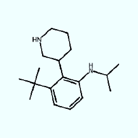 CC(C)Nc1cccc(C(C)(C)C)c1C1CCCNC1